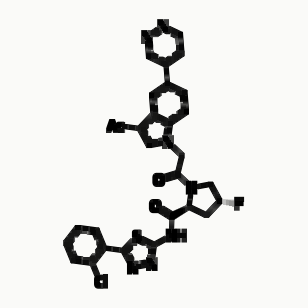 CC(=O)c1cn(CC(=O)N2C[C@H](F)C[C@H]2C(=O)Nc2nnc(-c3ccccc3Cl)s2)c2ccc(-c3ccnnc3)cc12